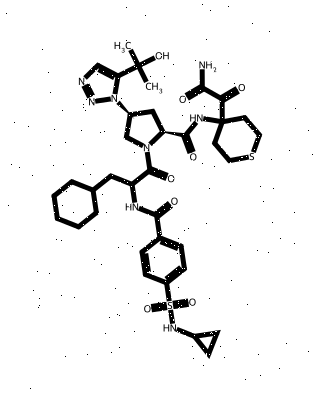 CC(C)(O)c1cnnn1[C@H]1C[C@@H](C(=O)NC2(C(=O)C(N)=O)CCSCC2)N(C(=O)C(CC2CCCCC2)NC(=O)c2ccc(S(=O)(=O)NC3CC3)cc2)C1